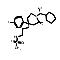 C[C@@H](C1CCCCC1)N1CC[C@](CCCNS(C)(=O)=O)(c2ccc(F)cc2)CC1=O